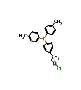 Cc1ccc(P(c2ccc(C)cc2)c2ccc(C)cc2)cc1.[Cl][Ni][Cl]